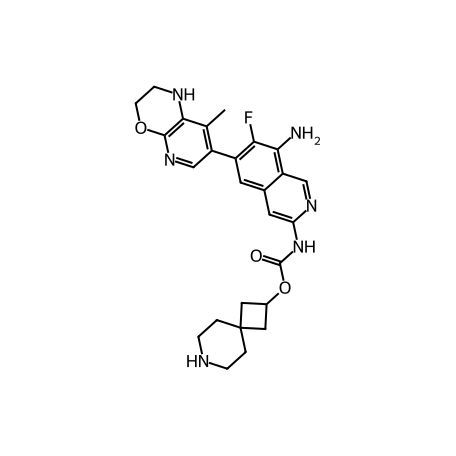 Cc1c(-c2cc3cc(NC(=O)OC4CC5(CCNCC5)C4)ncc3c(N)c2F)cnc2c1NCCO2